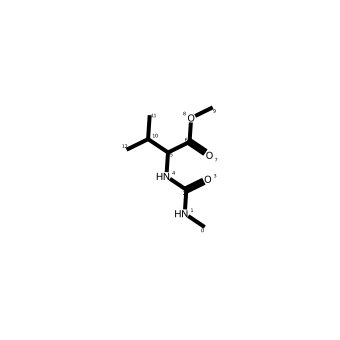 CNC(=O)NC(C(=O)OC)C(C)C